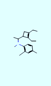 CCC1=C(CC)C(C(C)N(C)c2ccc(C)cc2C)C1